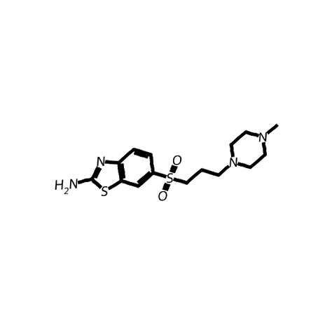 CN1CCN(CCCS(=O)(=O)c2ccc3nc(N)sc3c2)CC1